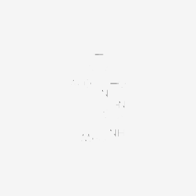 CONc1cnc(NC(=O)c2ccccc2OC(C)=O)s1